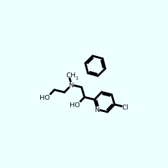 CN(CCO)CC(O)c1ccc(Cl)cn1.c1ccccc1